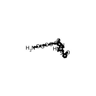 COc1cc2nc(C)nc(NC(C)c3ccc(-c4ccccc4C=O)s3)c2cc1OCCOCCOCCOCCOCCN